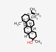 C=C(C)[C@H]1CC[C@@H](C)[C@H]2[C@@H]3CC[C@H]4C[C@](C)(O)CC[C@@H]4[C@H]3CC[C@@]21C